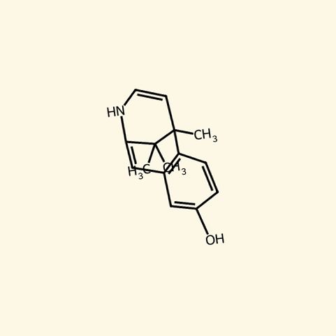 CC1(C)C2=Cc3cc(O)ccc3C1(C)C=CN2